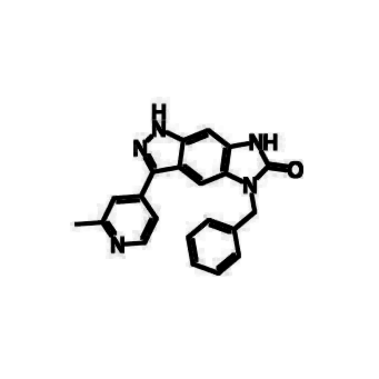 Cc1cc(-c2n[nH]c3cc4[nH]c(=O)n(Cc5ccccc5)c4cc23)ccn1